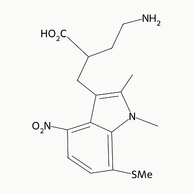 CSc1ccc([N+](=O)[O-])c2c(CC(CCN)C(=O)O)c(C)n(C)c12